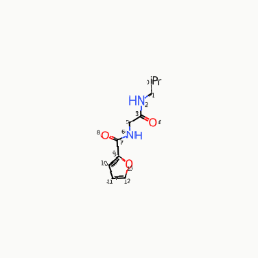 CC(C)CNC(=O)CNC(=O)c1ccco1